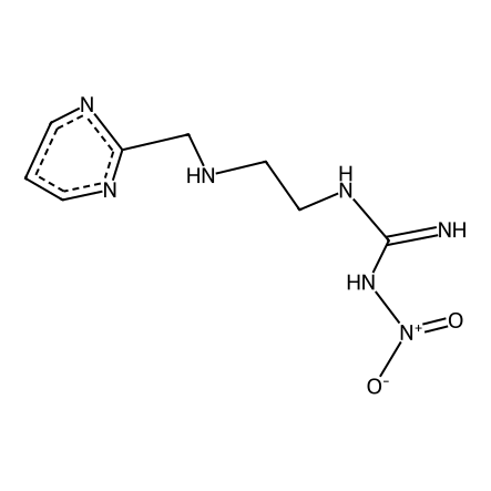 N=C(NCCNCc1ncccn1)N[N+](=O)[O-]